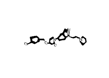 O=c1cc(OCc2ccc(Cl)cc2)ccn1-c1ccc2c(cnn2CCN2CCCCC2)c1